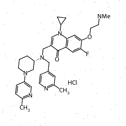 CNCCOc1cc2c(cc1F)c(=O)c(CN(Cc1ccnc(C)c1)[C@H]1CCCN(c3ccc(C)nc3)C1)cn2C1CC1.Cl